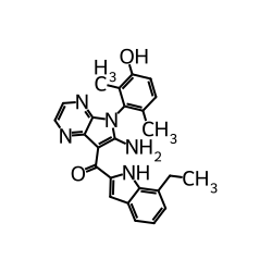 CCc1cccc2cc(C(=O)c3c(N)n(-c4c(C)ccc(O)c4C)c4nccnc34)[nH]c12